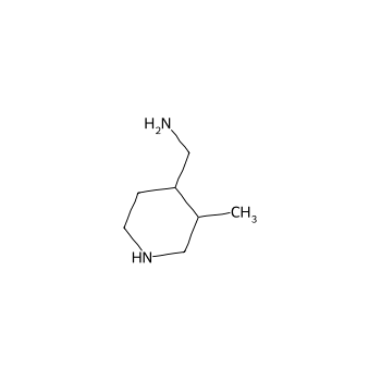 CC1CNCCC1CN